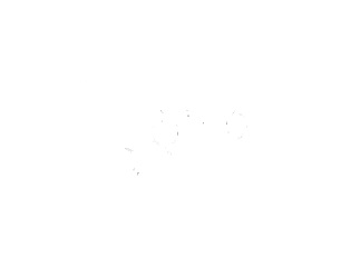 CCCCOc1c2n(cc(C(=O)NCc3c(F)cc(F)cc3F)c1=O)[C@H]1CCC[C@H](CC)N(C1)C2=O